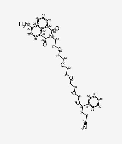 N#CCCC(OCOCCOCCOCCOCCN1C(=O)c2cccc3c(N)ccc(c23)C1=O)c1ccccc1